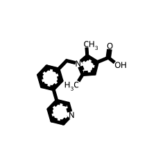 Cc1cc(C(=O)O)c(C)n1Cc1cccc(-c2cccnc2)c1